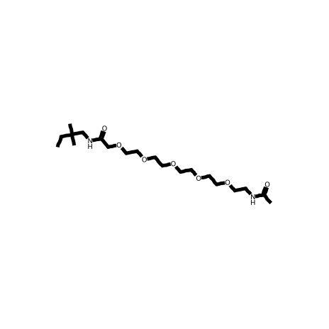 CCC(C)(C)CNC(=O)COCCOCCOCCOCCOCCNC(C)=O